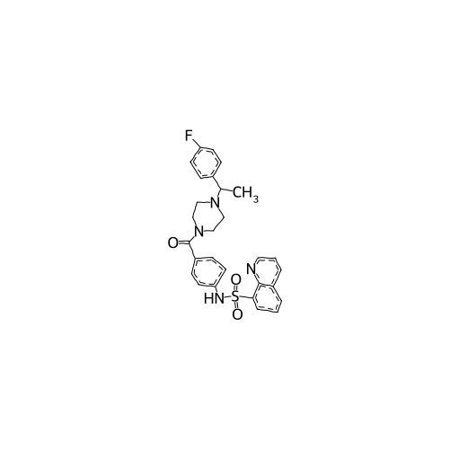 CC(c1ccc(F)cc1)N1CCN(C(=O)c2ccc(NS(=O)(=O)c3cccc4cccnc34)cc2)CC1